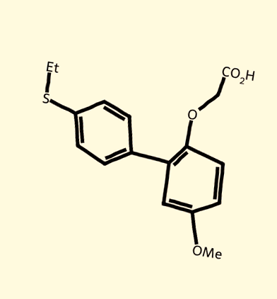 CCSc1ccc(-c2cc(OC)ccc2OCC(=O)O)cc1